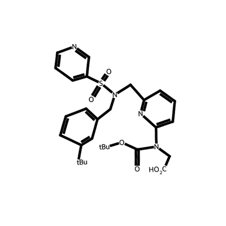 CC(C)(C)OC(=O)N(CC(=O)O)c1cccc(CN(Cc2cccc(C(C)(C)C)c2)S(=O)(=O)c2cccnc2)n1